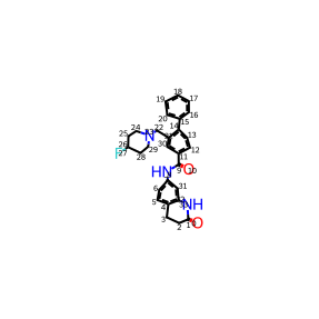 O=C1CCc2ccc(NC(=O)c3ccc(-c4ccccc4)c(CN4CCC(F)CC4)c3)cc2N1